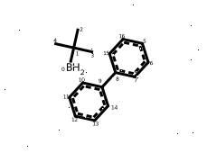 BC(C)(C)C.c1ccc(-c2ccccc2)cc1